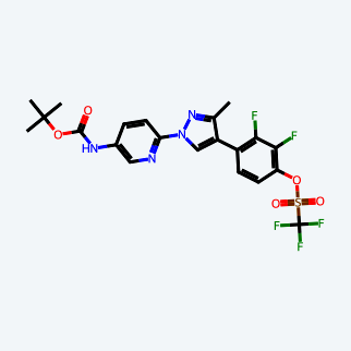 Cc1nn(-c2ccc(NC(=O)OC(C)(C)C)cn2)cc1-c1ccc(OS(=O)(=O)C(F)(F)F)c(F)c1F